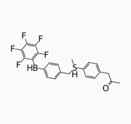 CC(=O)Cc1ccc([SH](C)Cc2ccc(Bc3c(F)c(F)c(F)c(F)c3F)cc2)cc1